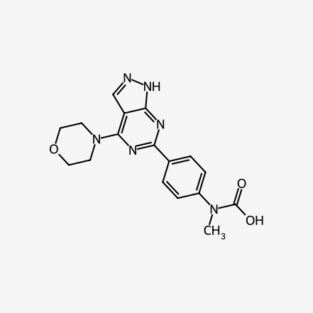 CN(C(=O)O)c1ccc(-c2nc(N3CCOCC3)c3cn[nH]c3n2)cc1